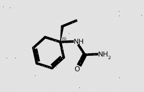 CC[C@@]1(NC(N)=O)C=CC=CC1